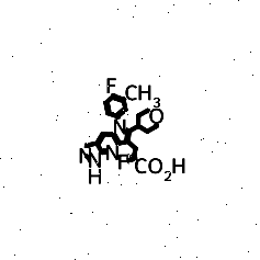 Cc1cc(-n2c(C3CCOCC3)c(C[C@H](F)C(=O)O)c3nc4[nH]ncc4cc32)ccc1F